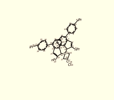 CCCC1=Cc2c(-c3ccc(C(C)C)cc3)cccc2[CH]1[Zr+2]1([CH]2C(CCC)=Cc3c(-c4ccc(C(C)C)cc4)cccc32)[CH2]C[CH2]1.[Cl-].[Cl-]